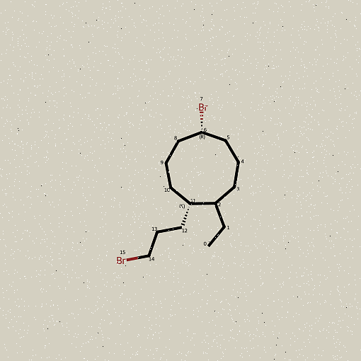 CCC1CCC[C@@H](Br)CCC[C@H]1CCCBr